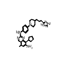 Cc1cc(N)c(C2CCCC2)c2nc(Nc3ccc(N4CCC(CCCc5nnn[nH]5)CC4)cc3)ncc12